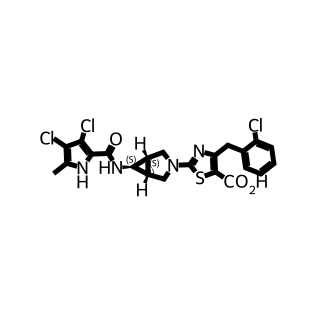 Cc1[nH]c(C(=O)N[C@H]2[C@@H]3CN(c4nc(Cc5ccccc5Cl)c(C(=O)O)s4)C[C@@H]32)c(Cl)c1Cl